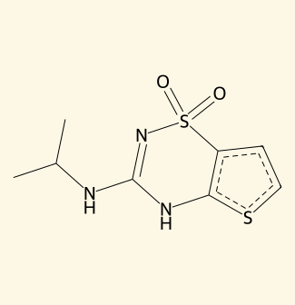 CC(C)NC1=NS(=O)(=O)c2ccsc2N1